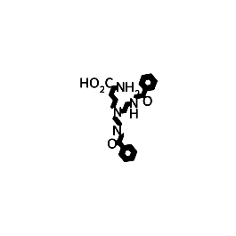 N[C@@H](CCCN(CCN=CC(=O)c1ccccc1)CCNCC(=O)c1ccccc1)C(=O)O